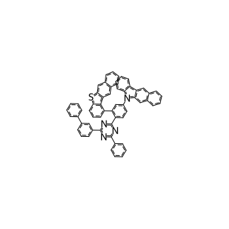 c1ccc(-c2cccc(-c3nc(-c4ccccc4)nc(-c4ccc(-n5c6ccccc6c6cc7ccccc7cc65)cc4-c4cccc5sc6cc7ccccc7cc6c45)n3)c2)cc1